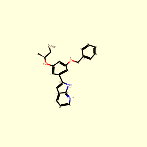 COC[C@H](C)Oc1cc(OCc2ccccc2)cc(-c2cc3cccnc3[nH]2)c1